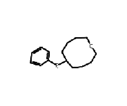 c1ccc([P]C2CCCCCCCCC2)cc1